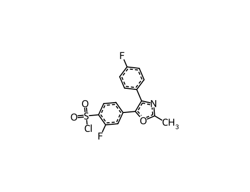 Cc1nc(-c2ccc(F)cc2)c(-c2ccc(S(=O)(=O)Cl)c(F)c2)o1